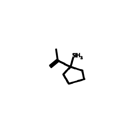 C=C(C)C1([SiH3])CCCC1